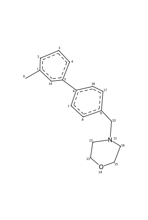 Cc1cccc(-c2ccc(CN3CCOCC3)cc2)c1